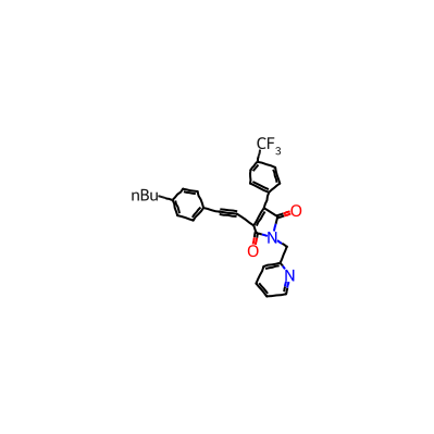 CCCCc1ccc(C#CC2=C(c3ccc(C(F)(F)F)cc3)C(=O)N(Cc3ccccn3)C2=O)cc1